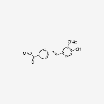 COC(=O)c1ccc(C=Cc2ccc(O)c(OC)c2)cc1